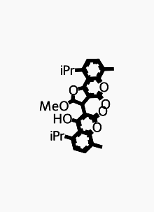 COC1Oc2c(c(=O)oc3c(C)ccc(C(C)C)c23)C1c1c(O)c2c(C(C)C)ccc(C)c2oc1=O